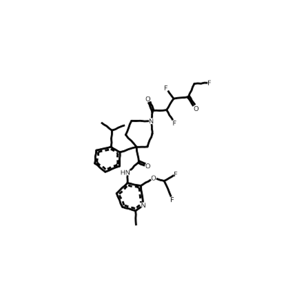 Cc1ccc(NC(=O)C2(c3ccccc3C(C)C)CCN(C(=O)C(F)C(F)C(=O)CF)CC2)c(OC(F)F)n1